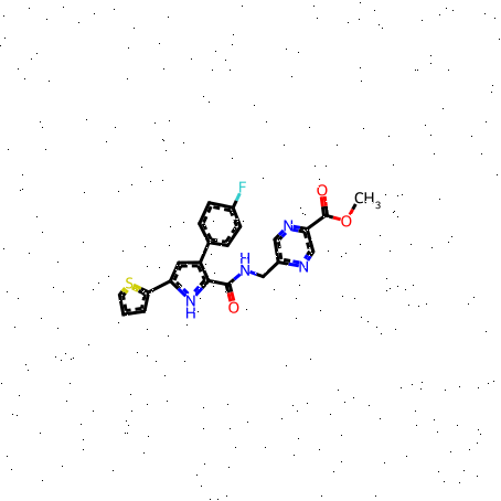 COC(=O)c1cnc(CNC(=O)c2[nH]c(-c3cccs3)cc2-c2ccc(F)cc2)cn1